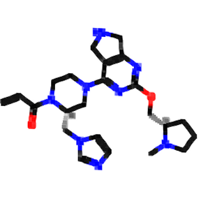 C=CC(=O)N1CCN(c2nc(OC[C@@H]3CCCN3C)nc3c2CNC3)C[C@@H]1Cn1ccnc1